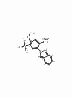 CCCCOc1cc(O)c(-n2nc3ccccc3n2)cc1S(=O)(=O)[O-].[Na+]